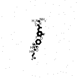 C/C(=C\c1cc(F)c(OC2CCC(S(=O)(=O)NC(=O)NCCN(C)C)CC2)c(F)c1)C(=O)N=C(N)N